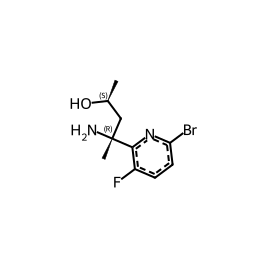 C[C@H](O)C[C@@](C)(N)c1nc(Br)ccc1F